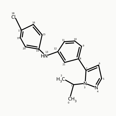 CC(C)n1nccc1-c1cccc(Nc2ccc(Cl)cc2)c1